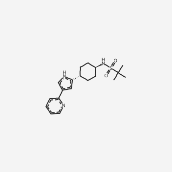 CC(C)(C)S(=O)(=O)N[C@H]1CC[C@H](c2cc(-c3ccccn3)c[nH]2)CC1